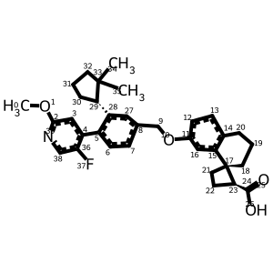 COc1cc(-c2ccc(COc3ccc4c(c3)[C@@]3(CCC4)CC[C@@H]3C(=O)O)cc2[C@@H]2CCCC2(C)C)c(F)cn1